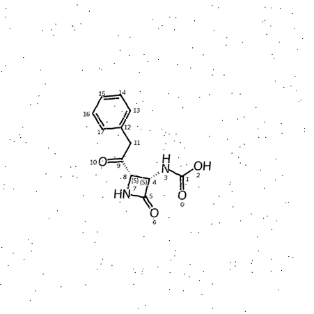 O=C(O)N[C@@H]1C(=O)N[C@@H]1C(=O)Cc1ccccc1